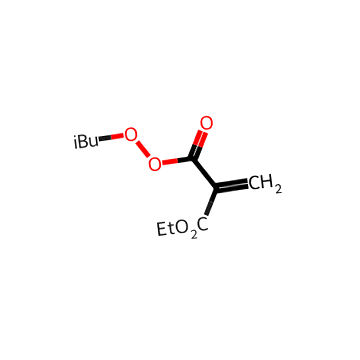 C=C(C(=O)OCC)C(=O)OOC(C)CC